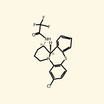 O=C(N[C@H]1CCCN2c3cc(Cl)ccc3Sc3ccccc3[C@@H]12)C(F)(F)F